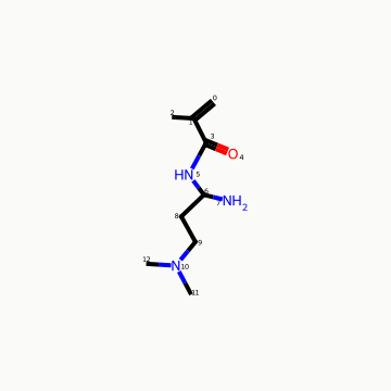 C=C(C)C(=O)NC(N)CCN(C)C